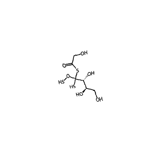 O=C(CO)SC(S)(OS)[C@H](O)[C@H](O)CO